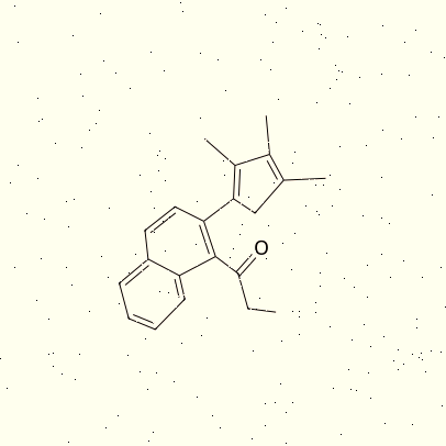 CCC(=O)c1c(C2=C(C)C(C)=C(C)C2)ccc2ccccc12